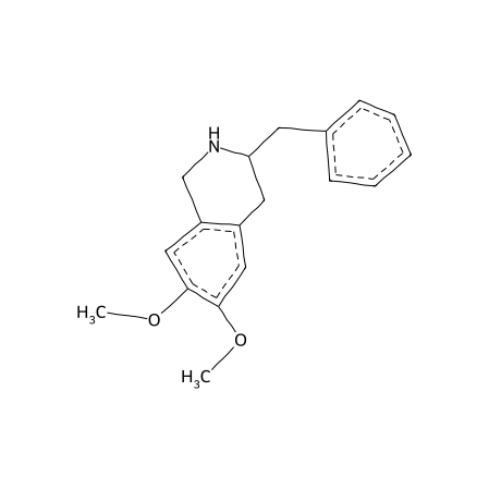 COc1cc2c(cc1OC)CC(Cc1ccccc1)NC2